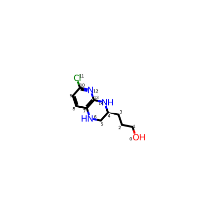 OCCC[C@H]1CNc2ccc(Cl)nc2N1